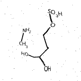 CN.O=S(=O)(O)OCCC(O)O